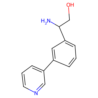 NC(CO)c1cccc(-c2cccnc2)c1